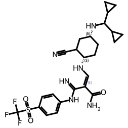 N#CC1C[C@H](NC(C2CC2)C2CC2)CC[C@@H]1N/C=C(\C(=N)Nc1ccc(S(=O)(=O)C(F)(F)F)cc1)C(N)=O